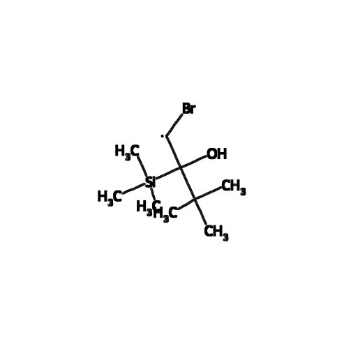 CC(C)(C)C(O)([CH]Br)[Si](C)(C)C